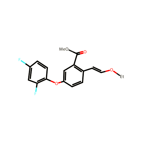 CCOC=Cc1ccc(Oc2ccc(F)cc2F)cc1C(=O)OC